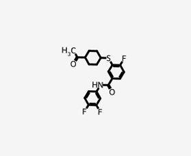 CC(=O)C1CCC(Sc2cc(C(=O)Nc3ccc(F)c(F)c3)ccc2F)CC1